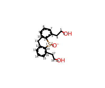 [O-][S+]1c2c(CCO)cccc2Cc2cccc(CCO)c21